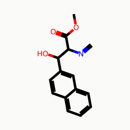 C=NC(C(=O)OC)C(O)c1ccc2ccccc2c1